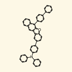 c1ccc(-c2ccc(-c3c4ccccc4cc4c3oc3ccc(-c5ccc(N(c6ccccc6)c6ccccc6)cc5)cc34)cc2)cc1